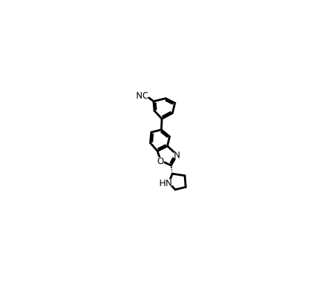 N#Cc1cccc(-c2ccc3oc([C@@H]4CCCN4)nc3c2)c1